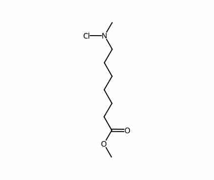 COC(=O)CCCCCCN(C)Cl